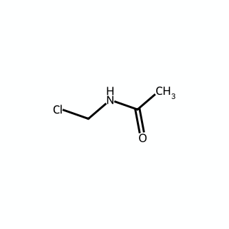 CC(=O)NCCl